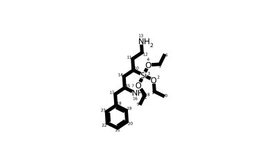 CCO[Si](OCC)(OCC)C(CCN)CC(N)Cc1ccccc1